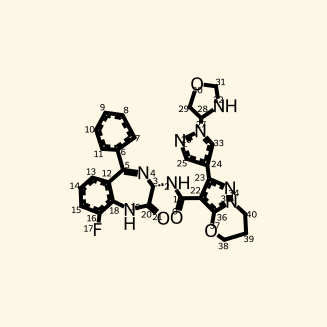 O=C(N[C@H]1N=C(c2ccccc2)c2cccc(F)c2NC1=O)c1c(-c2cnn(C3COCN3)c2)nn2c1OCCC2